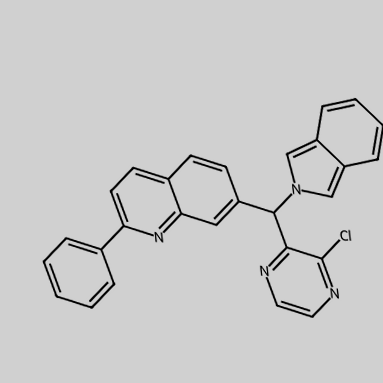 Clc1nccnc1C(c1ccc2ccc(-c3ccccc3)nc2c1)n1cc2ccccc2c1